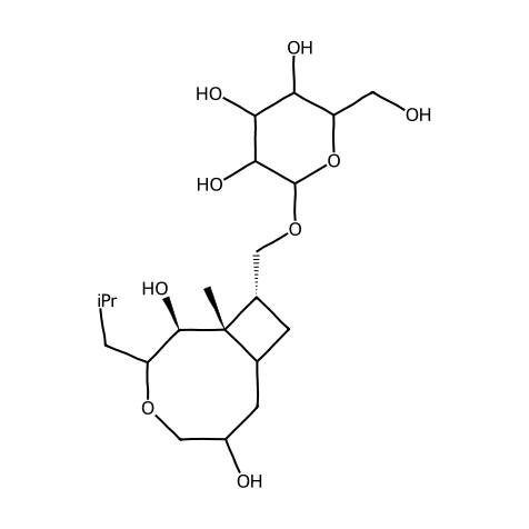 CC(C)CC1OCC(O)CC2C[C@@H](COC3OC(CO)C(O)C(O)C3O)[C@@]2(C)[C@@H]1O